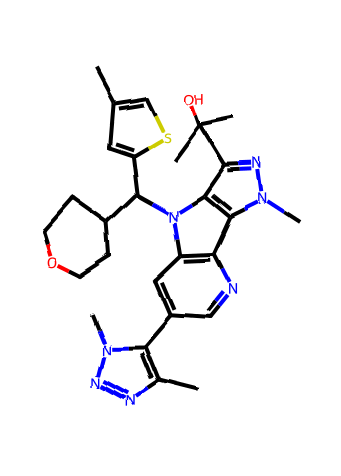 Cc1csc(C(C2CCOCC2)n2c3cc(-c4c(C)nnn4C)cnc3c3c2c(C(C)(C)O)nn3C)c1